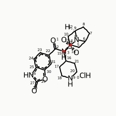 Cl.O=C(N[C@@H]1CC2CC[C@H](C1)N2S(=O)(=O)CC1CCNCC1)c1ccc2[nH]c(=O)oc2c1